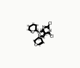 C1=COCCC1.Clc1nc(Cl)c2cnn(C3CCCCO3)c2n1